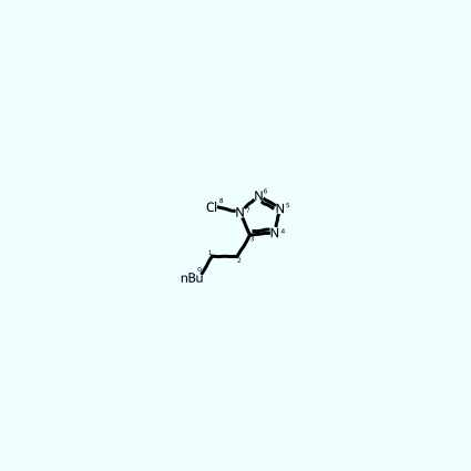 CCCCCCc1nnnn1Cl